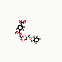 O=C(OCC1COC[C@H](COCc2ccccc2)O1)c1ccc([N+](=O)[O-])cc1